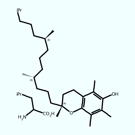 CC(C)CC(N)C(=O)O.Cc1c(C)c2c(c(C)c1O)CC[C@@](C)(CCC[C@H](C)CCC[C@H](C)CCCC(C)C)O2